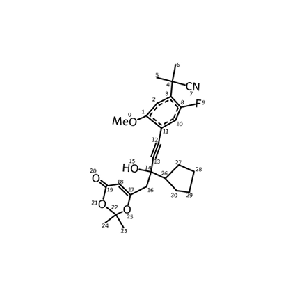 COc1cc(C(C)(C)C#N)c(F)cc1C#CC(O)(CC1=CC(=O)OC(C)(C)O1)C1CCCC1